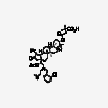 CC(=O)O[C@@H](CN(CCN(C)C)Cc1ccccc1Cl)[C@@]12CC[C@]3(C)[C@H](CC[C@@H]4[C@@]5(C)CC[C@H](OC(=O)CC(C)(C)C(=O)O)C(C)(C)[C@@H]5CC[C@]43C)C1=C(C(C)C)C(=O)C2